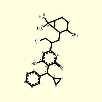 CCC(CC1C(C)CCC2C1C2(C)C)c1cc(O)c(C(c2ccccc2)C2CC2)c(=O)o1